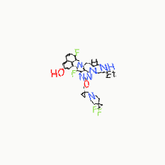 CC[C@@H]1CN2c3nc(OCC4(CN5CCC6(CC5)CC6(F)F)CC4)nc4c(F)c(-c5cc(O)cc6ccc(F)c(C)c56)nc(c34)CC[C@@H]2CN1